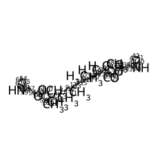 CC1=C(/C=C/C(C)=C/C=C/C(C)=C/C=C/C=C(C)/C=C/C=C(C)/C=C/C2=C(C)C(=O)[C@@H](OC(=O)CCc3c[nH]c4ccccc34)CC2(C)C)C(C)(C)C[C@H](OCCCc2c[nH]c3ccccc23)C1=O